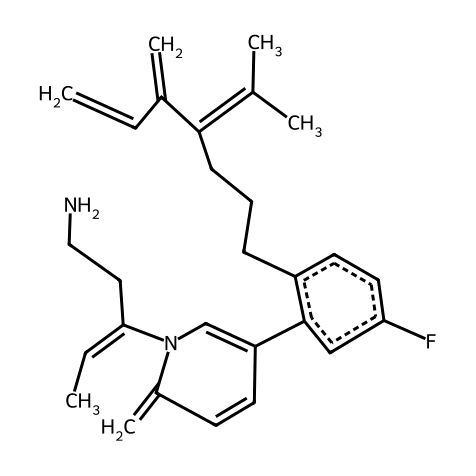 C=CC(=C)C(CCCc1ccc(F)cc1C1=CN(/C(=C\C)CCN)C(=C)C=C1)=C(C)C